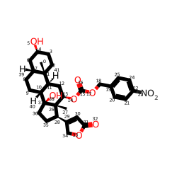 C[C@]12CC[C@H](O)C[C@H]1CC[C@@H]1[C@@H]2C[C@@H](OC(=O)OCc2ccc([N+](=O)[O-])cc2)[C@]2(C)[C@@H](C3=CC(=O)OC3)CC[C@]12O